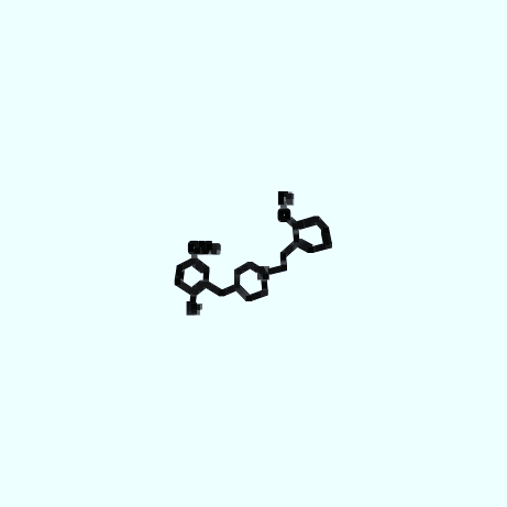 CCOc1ccccc1CCN1CCC(Cc2cc(OC)ccc2Br)CC1